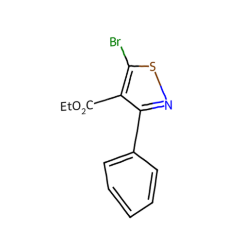 CCOC(=O)c1c(-c2ccccc2)nsc1Br